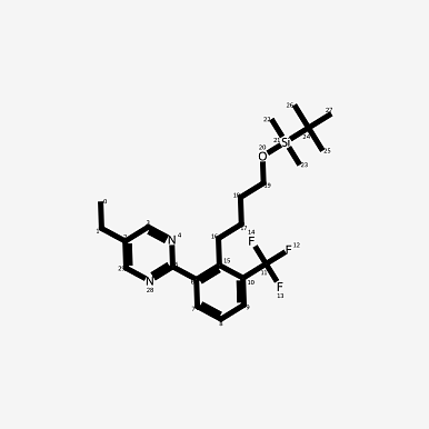 CCc1cnc(-c2[c]ccc(C(F)(F)F)c2CCCCO[Si](C)(C)C(C)(C)C)nc1